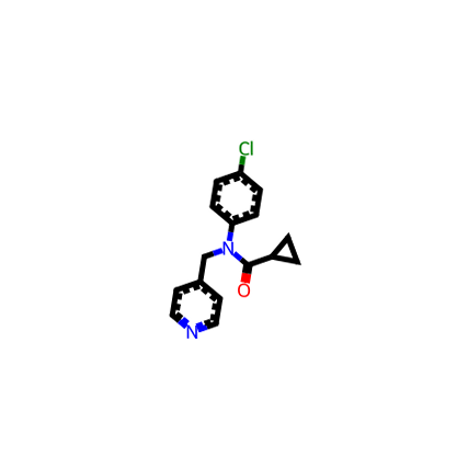 O=C(C1CC1)N(Cc1ccncc1)c1ccc(Cl)cc1